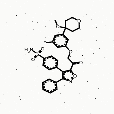 COC1(c2cc(F)cc(OCC(=O)c3onc(-c4ccccc4)c3-c3ccc(S(N)(=O)=O)cc3)c2)CCOCC1